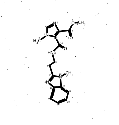 COC(=O)c1ncn(C)c1C(=O)NCCc1nc2ccccc2n1C